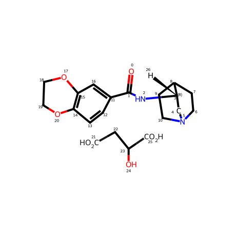 O=C(N[C@H]1CN2CCC1CC2)c1ccc2c(c1)OCCO2.O=C(O)CC(O)C(=O)O